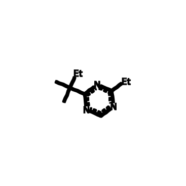 CCc1ncnc(C(C)(C)CC)n1